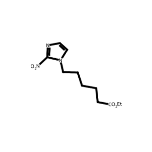 CCOC(=O)CCCCCn1ccnc1[N+](=O)[O-]